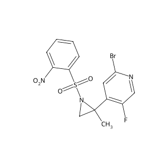 CC1(c2cc(Br)ncc2F)CN1S(=O)(=O)c1ccccc1[N+](=O)[O-]